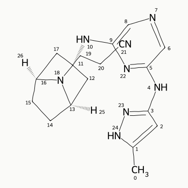 Cc1cc(Nc2cncc(N[C@@H]3C[C@H]4CC[C@@H](C3)N4CCC#N)n2)n[nH]1